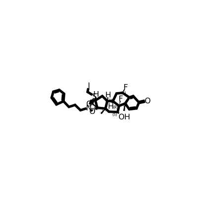 C[C@]12C=CC(=O)C=C1[C@@H](F)C[C@H]1[C@@H]3C[C@H]4CN(CCCc5ccccc5)O[C@@]4(C(=O)SCI)[C@@]3(C)C[C@H](O)[C@@]12F